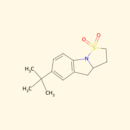 CC(C)(C)c1ccc2c(c1)CC1CCS(=O)(=O)N21